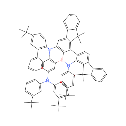 CC(C)(C)c1ccc(N2B3c4cc(N(c5cccc(C(C)(C)C)c5)c5cccc(C(C)(C)C)c5)ccc4N(c4ccc(C(C)(C)C)cc4-c4ccccc4)c4cc5c(c(c43)-c3ccc4c(c32)C(C)(C)c2ccccc2-4)C(C)(C)c2ccccc2-5)cc1